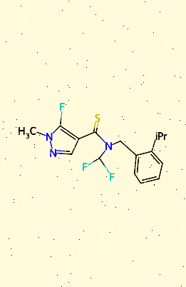 CC(C)c1ccccc1CN(C(=S)c1cnn(C)c1F)C(F)F